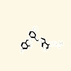 O=C(O)c1cncc2c1ccn2Cc1cc(Cl)ccc1OCc1ccc(F)cc1F